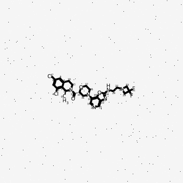 C[C@H]1c2c(Cl)cc(Cl)cc2CCN1C(=O)[C@H]1CN(c2cncc3nc(NCCN4CC(F)(F)C4)oc23)CCO1